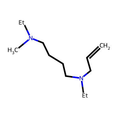 C=CCN(CC)CCCCN(C)CC